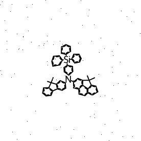 CC1(C)c2ccccc2-c2ccc(N(c3ccc([Si](c4ccccc4)(c4ccccc4)c4ccccc4)cc3)c3cc4c5c(ccc6cccc(c65)C4(C)C)c3)cc21